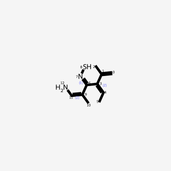 C=C(C)C(=C/C)/C(=N\S)C(/C)=C\N